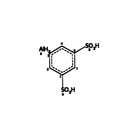 O=S(=O)(O)c1cccc(S(=O)(=O)O)c1.[AlH3]